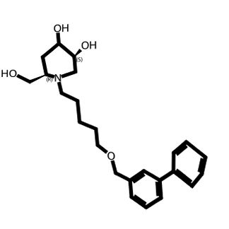 OC[C@H]1CC(O)[C@@H](O)CN1CCCCCOCc1cccc(-c2ccccc2)c1